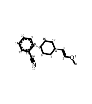 COC=C[C@H]1CC[C@H](c2ccccc2C#N)CC1